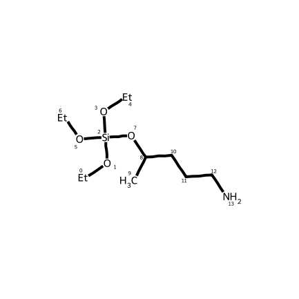 CCO[Si](OCC)(OCC)OC(C)CCCN